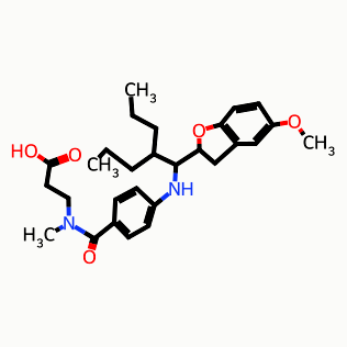 CCCC(CCC)C(Nc1ccc(C(=O)N(C)CCC(=O)O)cc1)C1Cc2cc(OC)ccc2O1